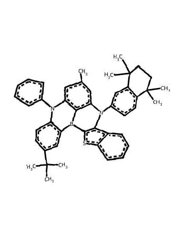 Cc1cc2c3c(c1)N(c1ccc4c(c1)C(C)(C)CCC4(C)C)c1c(sc4ccccc14)B3c1cc(C(C)(C)C)ccc1N2c1ccccc1